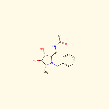 CC(=O)NC[C@@H]1[C@@H](O)[C@H](O)[C@@H](C)N1Cc1ccccc1